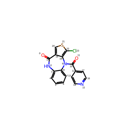 O=C1Nc2ccccc2N(C(=O)c2ccncc2)c2c1csc2Cl